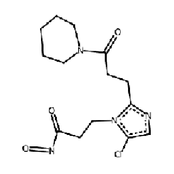 O=NC(=O)CCn1c(Cl)cnc1CCC(=O)N1CCCCC1